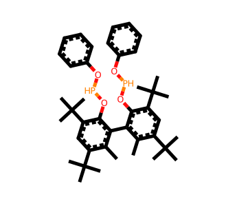 Cc1c(C(C)(C)C)cc(C(C)(C)C)c(OPOc2ccccc2)c1-c1c(C)c(C(C)(C)C)cc(C(C)(C)C)c1OPOc1ccccc1